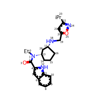 CCN(C(=O)c1cc2ccccc2[nH]1)[C@H]1CCC[C@@H](NCc2cc(C(C)C)no2)C1